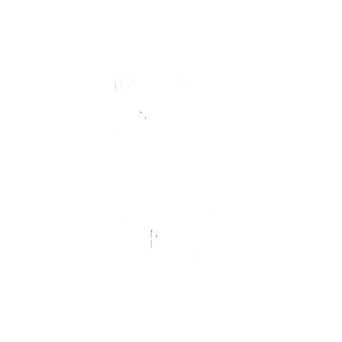 CN1C(=O)c2ccc(cc2)C(=O)Nc2ccc1cc2